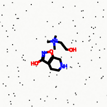 C[N+](C)(C)CCO.Oc1noc2c1CCNC2